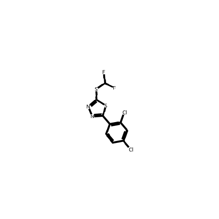 FC(F)Sc1nnc(-c2ccc(Cl)cc2Cl)s1